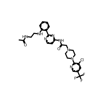 CC(=O)NCCNc1ccccc1-c1nccc(NC(=O)CN2CCN(c3ncc(C(F)(F)F)cc3Cl)CC2)n1